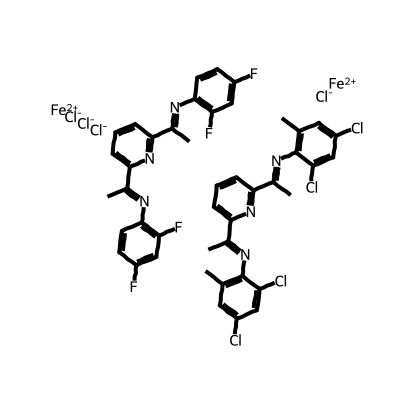 CC(=Nc1c(C)cc(Cl)cc1Cl)c1cccc(C(C)=Nc2c(C)cc(Cl)cc2Cl)n1.CC(=Nc1ccc(F)cc1F)c1cccc(C(C)=Nc2ccc(F)cc2F)n1.[Cl-].[Cl-].[Cl-].[Cl-].[Fe+2].[Fe+2]